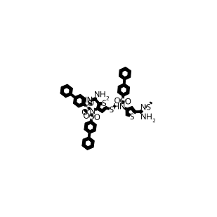 CSN=C(N)c1cc(NS(=O)(=O)c2ccc(-c3ccccc3)cc2)cs1.CSc1cc(N(S(=O)(=O)c2ccc(-c3ccccc3)cc2)S(=O)(=O)c2ccc(-c3ccccc3)cc2)c(C(=N)N)s1